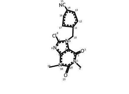 Cn1c(=O)c2c(nc(Cl)n2Cc2ccc(C#N)cc2)n(C)c1=O